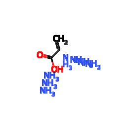 C=CC(=O)O.N.N.N.N.N.N.N